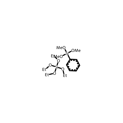 CCO[Si](OCC)(OCC)OCC.CO[Si](OC)(OC)c1ccccc1